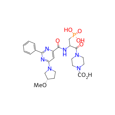 CO[C@H]1CCN(c2cc(C(=O)NC(CP(=O)(O)O)C(=O)N3CCN(C(=O)O)CC3)nc(-c3ccccc3)n2)C1